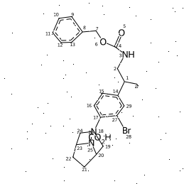 CC(CNC(=O)OCc1ccccc1)c1ccc(N2CC3CCC(C2)N3C(=O)O)c(Br)c1